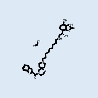 O=C(c1nc2ccccc2s1)N1CCOC2(CCN(CCCCCCCCCNC[C@H](O)c3ccc(O)c4[nH]c(=O)sc34)CC2)C1.O=CO